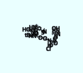 Cc1ncsc1-c1ccc([C@H](C)NC(=O)[C@@H]2C[C@@H](O)CN2C(=O)[C@@H](NC(=O)CCOCCOCCNC[C@@H](C(=O)N2CCN(c3ncnc4c3[C@H](C)C[C@H]4O)CC2)c2ccc(Cl)cc2)C(C)(C)C)cc1